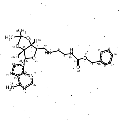 CC1(C)O[C@@H]2[C@@H](CNCCNC(=O)OCc3ccccc3)OC(n3cnc4c(N)ncnc43)[C@@H]2O1